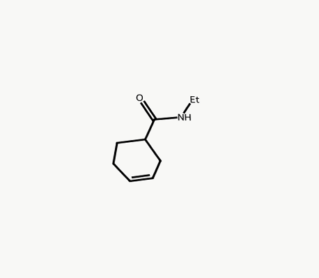 CCNC(=O)C1CC=CCC1